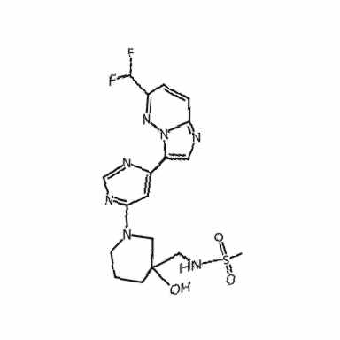 CS(=O)(=O)NCC1(O)CCCN(c2cc(-c3cnc4ccc(C(F)F)nn34)ncn2)C1